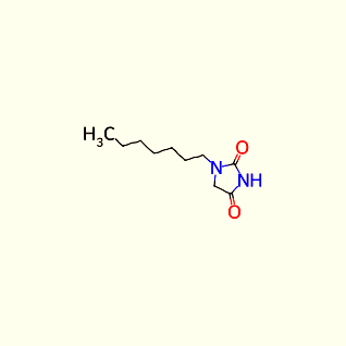 CCCCCCCN1CC(=O)NC1=O